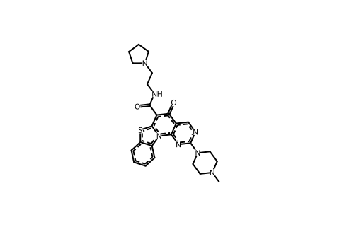 CN1CCN(c2ncc3c(=O)c(C(=O)NCCN4CCCC4)c4sc5ccccc5n4c3n2)CC1